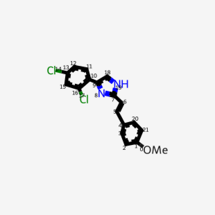 COc1ccc(C=Cc2nc(-c3ccc(Cl)cc3Cl)c[nH]2)cc1